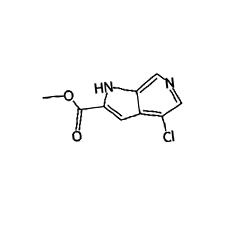 COC(=O)c1cc2c(Cl)cncc2[nH]1